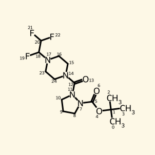 CC(C)(C)OC(=O)N1CCCN1C(=O)N1CCN(C(F)C(F)F)CC1